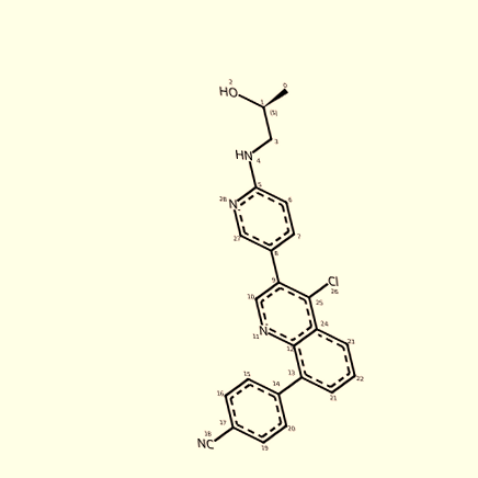 C[C@H](O)CNc1ccc(-c2cnc3c(-c4ccc(C#N)cc4)cccc3c2Cl)cn1